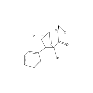 O=C1C2(Br)C=C(Br)C(CC2c2ccccc2)[C@@]12CO2